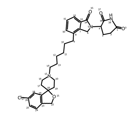 O=C1CCC(N2Cc3c(CCCCCCN4CCC5(CC4)OCc4ccc(Cl)cc45)cccc3C2=O)C(=O)N1